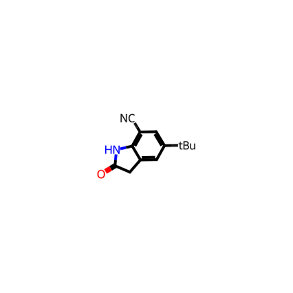 CC(C)(C)c1cc(C#N)c2c(c1)CC(=O)N2